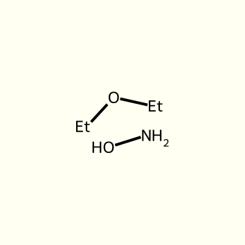 CCOCC.NO